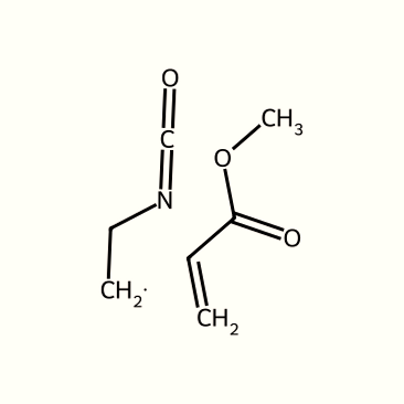 C=CC(=O)OC.[CH2]CN=C=O